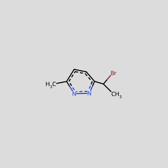 Cc1ccc(C(C)Br)nn1